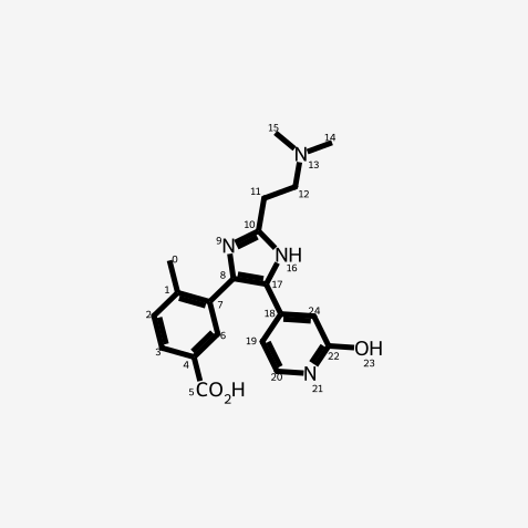 Cc1ccc(C(=O)O)cc1-c1nc(CCN(C)C)[nH]c1-c1ccnc(O)c1